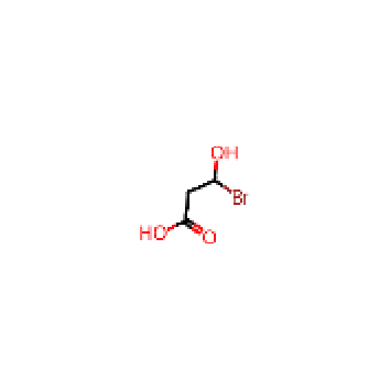 O=C(O)CC(O)Br